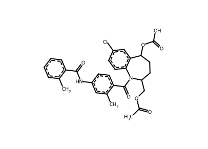 CC(=O)OCC1CCC(OC(=O)O)c2cc(Cl)ccc2N1C(=O)c1ccc(NC(=O)c2ccccc2C)cc1C